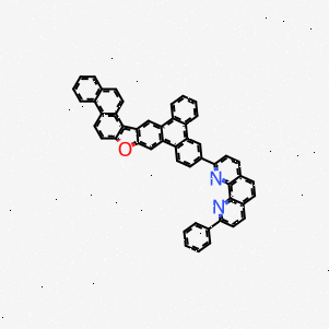 c1ccc(-c2ccc3ccc4ccc(-c5ccc6c(c5)c5ccccc5c5cc7c(cc65)oc5ccc6c8ccccc8ccc6c57)nc4c3n2)cc1